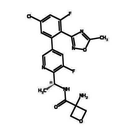 Cc1nc(-c2c(F)cc(Cl)cc2-c2cnc([C@@H](C)NC(=O)C3(N)COC3)c(F)c2)no1